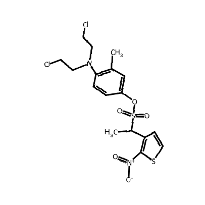 Cc1cc(OS(=O)(=O)C(C)c2ccsc2[N+](=O)[O-])ccc1N(CCCl)CCCl